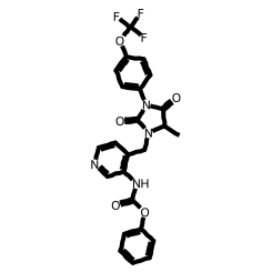 CC1C(=O)N(c2ccc(OC(F)(F)F)cc2)C(=O)N1Cc1ccncc1NC(=O)Oc1ccccc1